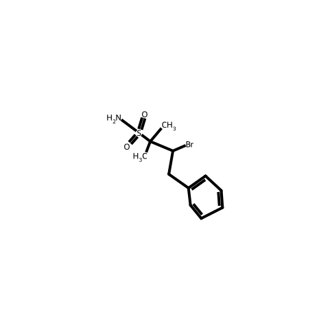 CC(C)(C(Br)Cc1ccccc1)S(N)(=O)=O